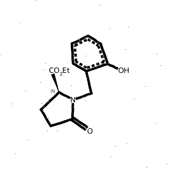 CCOC(=O)[C@@H]1CCC(=O)N1Cc1ccccc1O